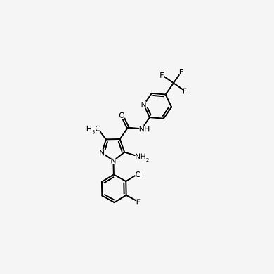 Cc1nn(-c2cccc(F)c2Cl)c(N)c1C(=O)Nc1ccc(C(F)(F)F)cn1